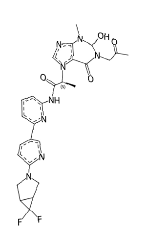 CC(=O)CN1C(=O)c2c(ncn2[C@@H](C)C(=O)Nc2cccc(-c3ccc(N4CC5C(C4)C5(F)F)nc3)n2)N(C)C1O